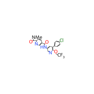 CNC(=O)c1ccc(C(=O)Nc2cnc(OCC(F)(F)F)c(-c3ccc(Cl)cc3)c2)cn1